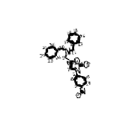 O=Nc1ccc(N2C[C@@H](CN(Cc3ccccc3)Cc3ccccc3)OC2=O)cc1